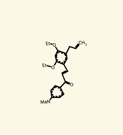 C=CCc1cc(C=CC(=O)c2ccc(NC)cc2)c(OCC)cc1OCC